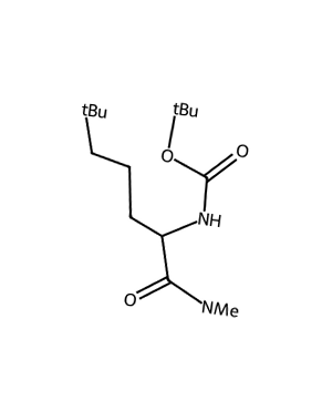 CNC(=O)C(CCCC(C)(C)C)NC(=O)OC(C)(C)C